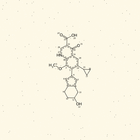 COc1c(-c2cc3c(s2)CCC(O)C3)c(C2CC2)cc2c(=O)c(C(=O)O)c[nH]c12